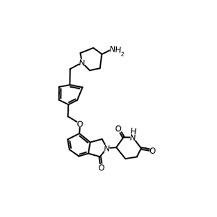 NC1CCN(Cc2ccc(COc3cccc4c3CN(C3CCC(=O)NC3=O)C4=O)cc2)CC1